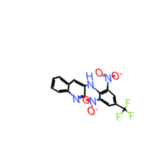 O=[N+]([O-])c1cc(C(F)(F)F)cc([N+](=O)[O-])c1Nc1cnc2ccccc2c1